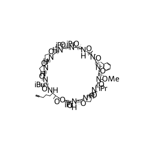 C#CCCCC1NC(=O)[C@H]([C@@H](C)CC)N(C)C(=O)[C@@H]2CCCN2C(=O)[C@@H]2CCCN2C(=O)[C@H](CC(C)C)NC(=O)[C@H](C(C)C)N(C)C(=O)[C@H](C)NC(=O)[C@@H](C)N(C)C(=O)[C@H](Cc2ccccc2)N(C)C(=O)[C@H](COC)N(C)C(=O)[C@H](C(C)C)N(C)C(=O)[C@@H]2CCCN2C(=O)[C@H](C)NC(=O)[C@H](C(C)C)OC(=O)C1C